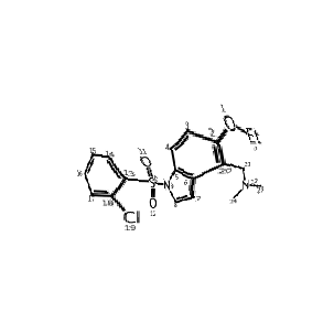 CCOc1ccc2c(ccn2S(=O)(=O)c2ccccc2Cl)c1CN(C)C